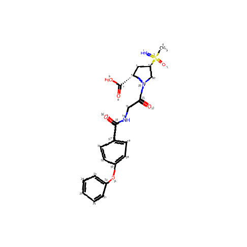 CS(=N)(=O)[C@@H]1C[C@@H](C(=O)O)N(C(=O)CNC(=O)c2ccc(Oc3ccccc3)cc2)C1